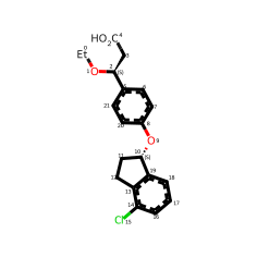 CCO[C@@H](CC(=O)O)c1ccc(O[C@H]2CCc3c(Cl)cccc32)cc1